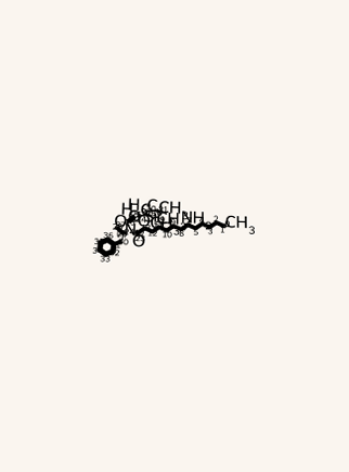 CCCCCCC(N)CCCCCC(O[Si](C)(C)C(C)(C)C)C(=O)N1C(=O)OC[C@H]1Cc1ccccc1